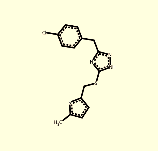 Cc1ccc(CSc2nc(Cc3ccc(Cl)cc3)n[nH]2)s1